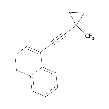 FC(F)(F)C1(C#CC2=CCCc3ccccc32)CC1